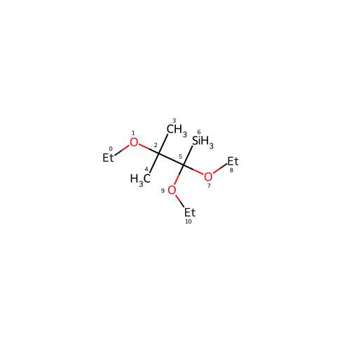 CCOC(C)(C)C([SiH3])(OCC)OCC